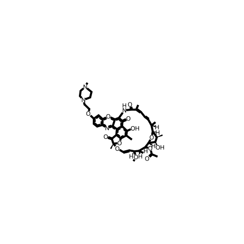 CO[C@H]1/C=C/O[C@@]2(C)Oc3c(C)c(O)c4c(=O)c(c5oc6cc(OCCN7CCN(C)CC7)ccc6nc-5c4c3C2=O)NC(=O)/C(C)=C\C=C\[C@H](C)[C@@H]2O[C@H]([C@H](O)[C@@H]2C)[C@H](OC(C)=O)[C@@H]1C